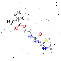 CCC(C)(C)C(=O)OCCNC(=O)Nc1nccs1